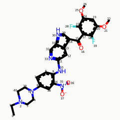 CCN1CCN(c2ccc(Nc3cc4c(C(=O)c5c(F)c(OC)cc(OC)c5F)c[nH]c4cn3)c([N+](=O)[O-])c2)CC1